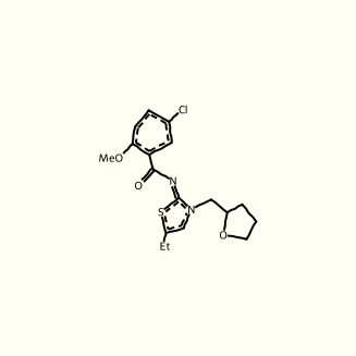 CCc1cn(CC2CCCO2)/c(=N/C(=O)c2cc(Cl)ccc2OC)s1